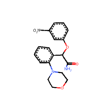 NC(=O)C(Oc1cccc([N+](=O)[O-])c1)c1ccccc1N1CCOCC1